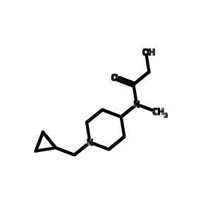 CN(C(=O)CO)C1CCN(CC2CC2)CC1